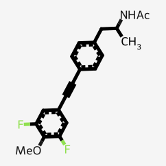 COc1c(F)cc(C#Cc2ccc(CC(C)NC(C)=O)cc2)cc1F